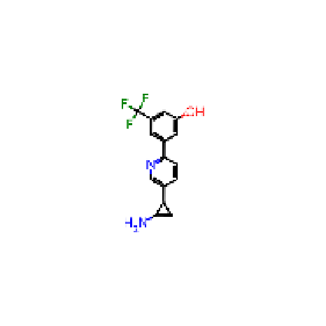 NC1CC1c1ccc(-c2cc(O)cc(C(F)(F)F)c2)nc1